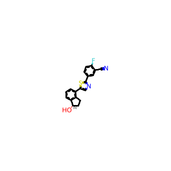 N#Cc1cc(-c2ncc(-c3cccc4c3CC[C@@H]4O)s2)ccc1F